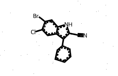 N#Cc1[nH]c2cc(Br)c(Cl)cc2c1-c1ccccc1